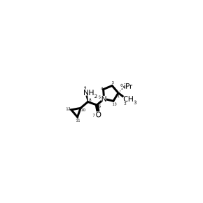 CC(C)[C@@]1(C)CCN(C(=O)[C@H](N)C2CC2)C1